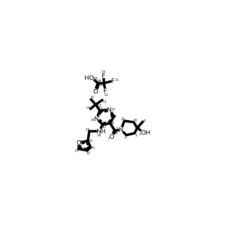 CC1(O)CCN(C(=O)c2cnc(C(C)(C)C)nc2NCc2ccco2)CC1.O=C(O)C(F)(F)F